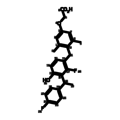 Cc1cc(OCC(=O)O)cc(C)c1Cc1ccc(O)c(C(C)c2ccc(F)cc2)c1F